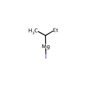 CC[CH](C)[Mg][I]